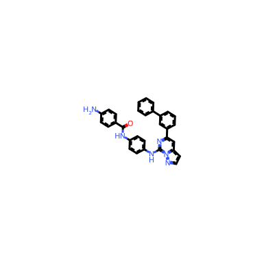 Nc1ccc(C(=O)Nc2ccc(Nc3nc(-c4cccc(-c5ccccc5)c4)cc4ccnn34)cc2)cc1